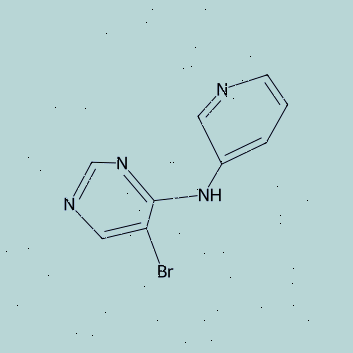 Brc1cncnc1Nc1cccnc1